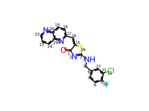 O=C1N=C(NCc2ccc(F)c(Cl)c2)SC1=Cc1ccc2ncccc2n1